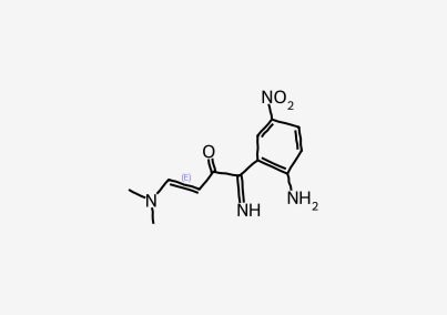 CN(C)/C=C/C(=O)C(=N)c1cc([N+](=O)[O-])ccc1N